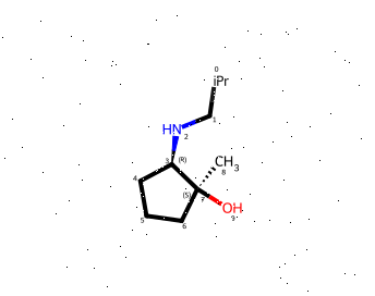 CC(C)CN[C@@H]1CCC[C@]1(C)O